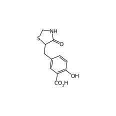 O=C(O)c1cc(CC2SCNC2=O)ccc1O